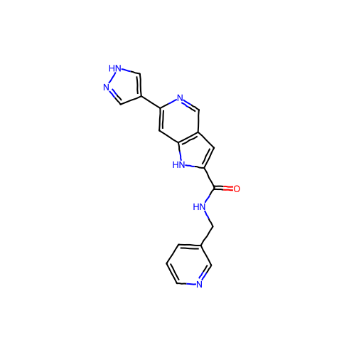 O=C(NCc1cccnc1)c1cc2cnc(-c3cn[nH]c3)cc2[nH]1